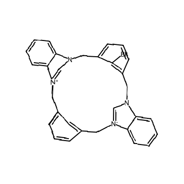 Brc1c2cccc1Cn1c[n+](c3ccccc31)Cc1cccc(c1)C[n+]1cn(c3ccccc31)C2